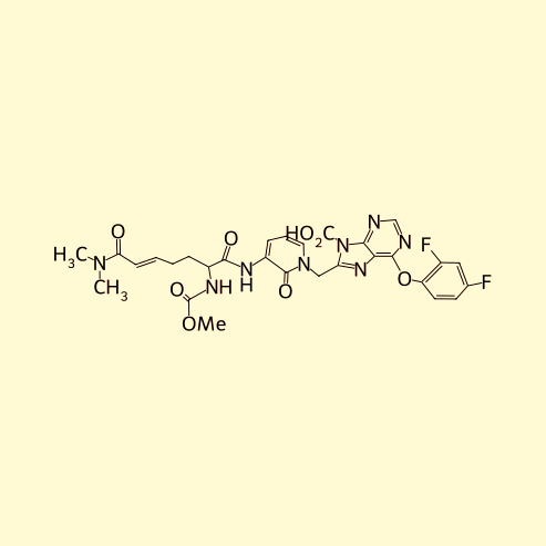 COC(=O)NC(CC/C=C/C(=O)N(C)C)C(=O)Nc1cccn(Cc2nc3c(Oc4ccc(F)cc4F)ncnc3n2C(=O)O)c1=O